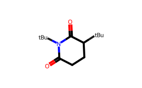 CC(C)(C)C1CCC(=O)N(C(C)(C)C)C1=O